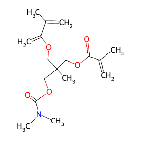 C=C(C)C(=C)OCC(C)(COC(=O)C(=C)C)COC(=O)N(C)C